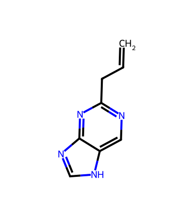 C=CCc1ncc2[nH]cnc2n1